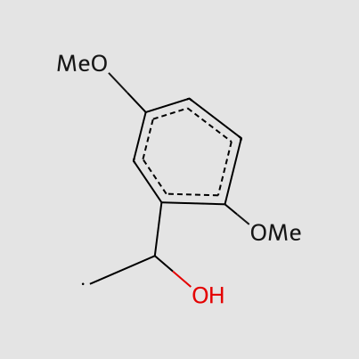 [CH2]C(O)c1cc(OC)ccc1OC